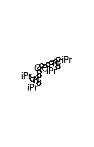 Cc1ccc(C(C)C)cc1N(c1ccc2cc3c(cc2c1)oc1c3ccc2oc3cc4cc(N(c5cc(C(C)C)ccc5C)c5cc(C(C)C)ccc5C)ccc4cc3c21)c1cc(C(C)C)ccc1C